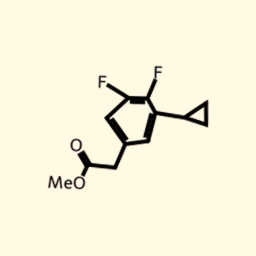 COC(=O)Cc1cc(F)c(F)c(C2CC2)c1